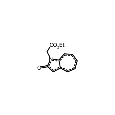 CCOC(=O)Cn1c2cccccc-2cc1=O